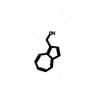 OCc1ccc2cccccc1-2